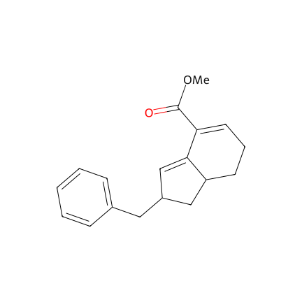 COC(=O)C1=CCCC2CC(Cc3ccccc3)C=C12